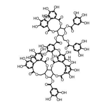 O=C(OCC1OC(OC(=O)c2cc(O)c(O)c(O)c2)C2OC(=O)c3cc(O)c(O)c(O)c3-c3c(cc(O)c(O)c3O)C(=O)OC2C1OC(=O)c1cc(O)c(O)c(O)c1Oc1cc2c(c(O)c1O)-c1cc(c(O)c(O)c1O)C(=O)OC1C(OC(=O)c3cc(O)c(O)c(O)c3)OC3COC(=O)c4cc(O)c(O)c(O)c4-c4c(cc(O)c(O)c4O)C(=O)OC3C1OC2=O)c1cc(O)c(O)c(O)c1